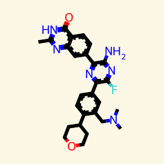 Cc1nc2cc(-c3nc(-c4ccc(C5CCOCC5)c(CN(C)C)c4)c(F)nc3N)ccc2c(=O)[nH]1